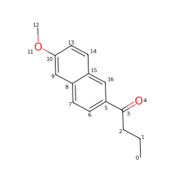 CCCC(=O)c1ccc2cc(OC)ccc2c1